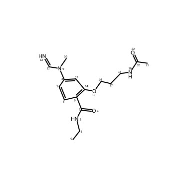 CCNC(=O)c1ccc(N(C)C=N)cc1OCCCNC(C)=O